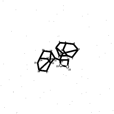 C1C2CC3CC1CC(C2)C3C1(C2C3CC4CC(C3)CC2C4)COO1